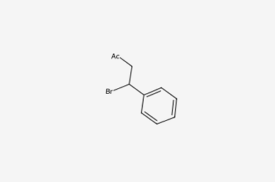 CC(=O)CC(Br)c1ccccc1